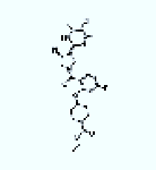 CCOC(=O)N1CCC(Oc2cc(F)ccc2C(=O)N2CC(=N)/C(=C3/N=C(C)C(Cl)=C(C)N3)C2)CC1